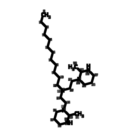 CCCCCCCCCCCCN(CCN1CCCNC1C)CCN1CCCNC1C